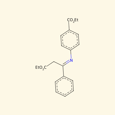 CCOC(=O)C/C(=N\c1ccc(C(=O)OCC)cc1)c1ccccc1